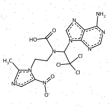 Cc1ncc([N+](=O)[O-])n1CCN(C(=O)O)C(n1cnc2c(N)ncnc21)C(Cl)(Cl)Cl